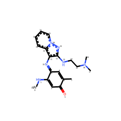 CCCNC1=CC(=O)C(C)=C/C1=N\c1c(NCCN(C)C)nn2ccccc12